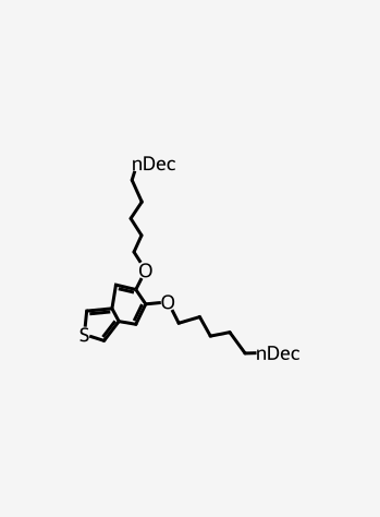 CCCCCCCCCCCCCCCOc1cc2cscc2cc1OCCCCCCCCCCCCCCC